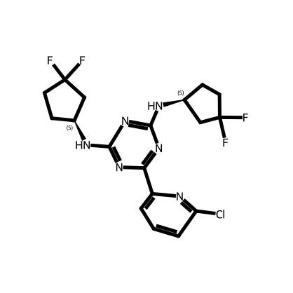 FC1(F)CC[C@H](Nc2nc(N[C@H]3CCC(F)(F)C3)nc(-c3cccc(Cl)n3)n2)C1